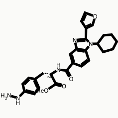 COC(=O)[C@H](Cc1ccc(NN)cc1)NC(=O)c1ccc2c(c1)nc(-c1ccoc1)n2C1CCCCC1